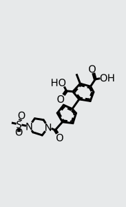 Cc1c(C(=O)O)ccc(-c2ccc(C(=O)N3CCN(S(C)(=O)=O)CC3)cc2)c1C(=O)O